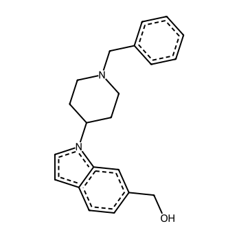 OCc1ccc2ccn(C3CCN(Cc4ccccc4)CC3)c2c1